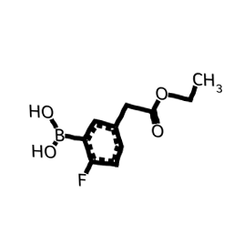 CCOC(=O)Cc1ccc(F)c(B(O)O)c1